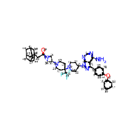 Nc1ncnc2c1c(-c1ccc(Oc3ccccc3)cc1)nn2C1CCN(C2(C(F)(F)F)CCN(C3CN(C(=O)CC45CC6CC(CC(C6)C4)C5)C3)CC2)CC1